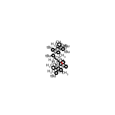 Cc1cc2c3c(c1)N(c1cc(C(C)(C)C)cc(C(C)(C)C)c1)c1c(sc4c1C(C)(C)CCC4(C)C)B3c1cc(C(C)(C)C)ccc1N2c1cc(C(C)(C)C)cc(C(C)(C)CCC(C)(C)c2ccc3c(c2)B2c4sc5c(c4N(c4ccc(C(C)(C)C)cc4)c4cc(C)cc(c42)N3c2ccccc2-c2ccccc2)C(C)(C)CCC5(C)C)c1